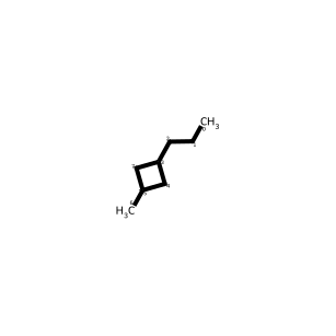 CCCC1C[C](C)C1